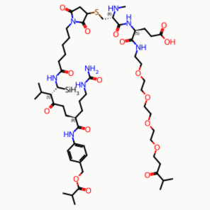 CN[C@@H](CSC1CC(=O)N(CCCCCC(=O)NC([SiH3])[C@H](C(=O)CC[C@@H](CCCNC(N)=O)C(=O)Nc2ccc(COC(=O)C(C)C)cc2)C(C)C)C1=O)C(=O)N[C@@H](CCC(=O)O)C(=O)NCCOCCOCCOCCOCCC(=O)C(C)C